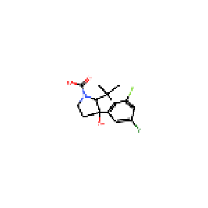 CC(C)(C)C1N(C(=O)O)CCC1(O)c1cc(F)cc(Cl)c1